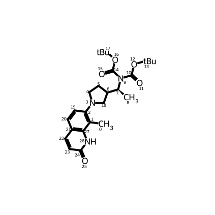 Cc1c(N2CCC([C@H](C)N(C(=O)OC(C)(C)C)C(=O)OC(C)(C)C)C2)ccc2ccc(=O)[nH]c12